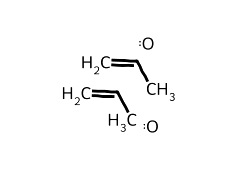 C=CC.C=CC.[O].[O]